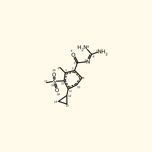 Cc1c(C(=O)N=C(N)N)ccc(C2CC2)c1S(C)(=O)=O